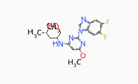 COc1cc(NC(CO)CC(C)C)nc(-n2cnc3cc(F)c(F)cc32)n1